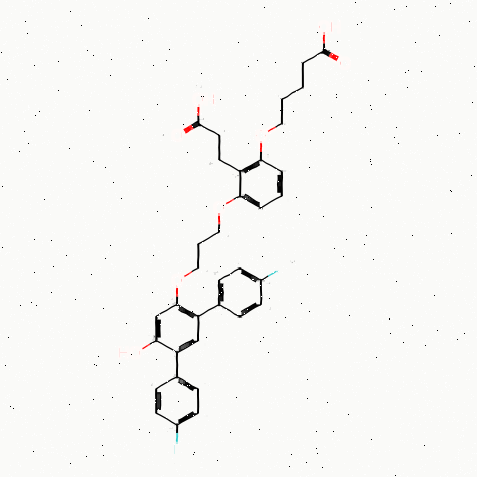 O=C(O)CCCCOc1cccc(OCCCOc2cc(O)c(-c3ccc(F)cc3)cc2-c2ccc(F)cc2)c1CCC(=O)O